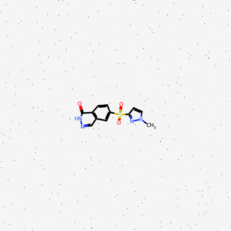 Cn1ccc(S(=O)(=O)c2ccc3c(=O)[nH]ncc3c2)n1